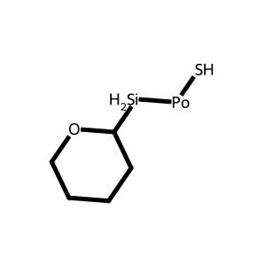 [SH][Po][SiH2]C1CCCCO1